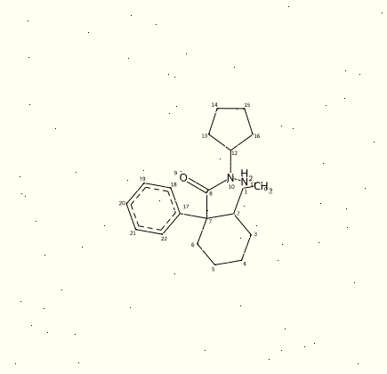 CCC1CCCCC1(C(=O)N(N)C1CCCC1)c1ccccc1